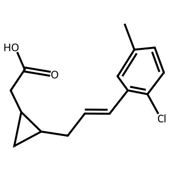 Cc1ccc(Cl)c(C=CCC2CC2CC(=O)O)c1